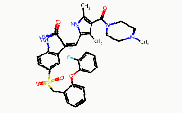 Cc1[nH]c(/C=C2\C(=O)Nc3ccc(S(=O)(=O)Cc4ccccc4Oc4ccccc4F)cc32)c(C)c1C(=O)N1CCN(C)CC1